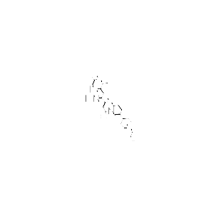 CC1=CN/C(=C\C(=N)c2cc(=O)n3cc(C4CCN(CCF)CC4)ccc3n2)C(C)=N1